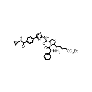 CCOC(=O)CCCCC1SC[C@@H](C(=O)Nc2nc(-c3ccc(C(=O)NC4CC4)cc3)cs2)N1C(=O)[C@H](N)C1=CC=CCC1